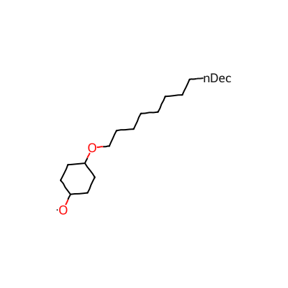 [CH2]CCCCCCCCCCCCCCCCCOC1CCC([O])CC1